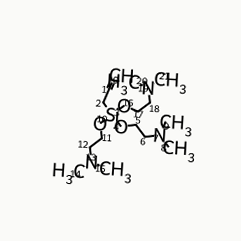 C#CC[Si](OCCN(C)C)(OCCN(C)C)OCCN(C)C